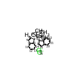 C[Si]1(C)[Si](C)(C)[Ti+2]1([CH]1C=Cc2ccccc21)[CH]1C=Cc2ccccc21.[Cl-].[Cl-]